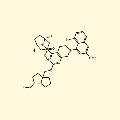 CCc1cccc2cc(OC)cc(N3CCc4c(nc(OCC56CCCN5C(CF)CC6)nc4N4C[C@H]5CC[C@@H](C4)N5C(=O)OC(C)(C)C)C3)c12